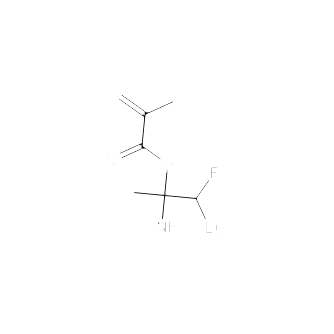 C=C(C)C(=O)OC(C)(N)C(CC)CC